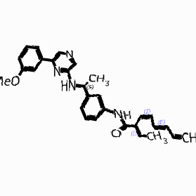 C=C/C=C/C=C\C(=C/C)C(=O)Nc1cccc([C@H](C)Nc2cncc(-c3cccc(OC)c3)n2)c1